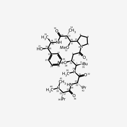 CC[C@H](C)C([C@H](CC(=O)N1CCCC1[C@@H](OC)[C@@H](C)C(=O)N[C@H](C)[C@H](O)c1ccccc1)OC)N(C)C(=O)[C@@H](NC(=O)[C@H](C(C)C)N(C)C)C(C)C